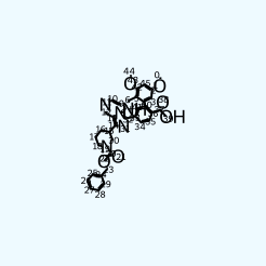 COc1ccc(CN[N+]23C=CN=CC2=C(C2CCCN(C(=O)OCc4ccccc4)C2)N=C3c2ccc(C(=O)O)cc2)c(OC)c1